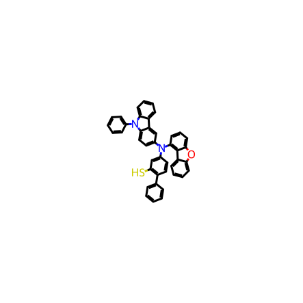 Sc1cc(N(c2ccc3c(c2)c2ccccc2n3-c2ccccc2)c2cccc3oc4ccccc4c23)ccc1-c1ccccc1